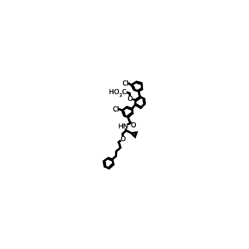 O=C(O)COc1c(-c2cccc(Cl)c2)cccc1-c1cc(Cl)cc(C(=O)NC(COCCCCc2ccccc2)C2CC2)c1